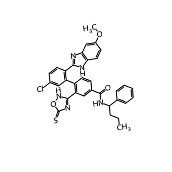 CCCC(NC(=O)c1ccc(-c2cc(Cl)ccc2-c2nc3cc(OC)ccc3[nH]2)c(-c2nc(=S)o[nH]2)c1)c1ccccc1